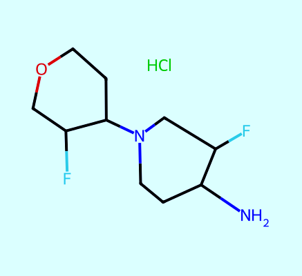 Cl.NC1CCN(C2CCOCC2F)CC1F